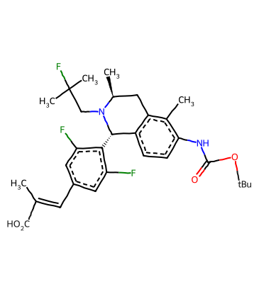 C/C(=C\c1cc(F)c([C@H]2c3ccc(NC(=O)OC(C)(C)C)c(C)c3C[C@H](C)N2CC(C)(C)F)c(F)c1)C(=O)O